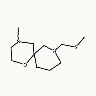 CSCN1CCCC2(CN(C)CCO2)C1